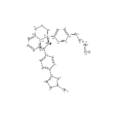 Cc1nc(-c2ccc(C(=O)N[C@]3(c4ccc(OC(F)(F)F)cc4)CCOc4cccnc43)cc2)no1.O=CO